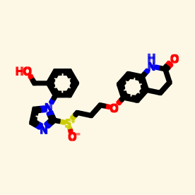 O=C1CCc2cc(OCCC[S+]([O-])c3nccn3-c3ccccc3CO)ccc2N1